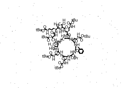 CCC(C)C(=O)OC(C)CC(=O)N[C@@H](CCCNC(=O)OC(C)(C)C)C(=O)N[C@H](C(=O)N[C@@H](CCNC(=O)OC(C)(C)C)C(=O)N[C@H]1CCNC(=O)[C@H]([C@H](C)O)NC(=O)[C@H](CCNC(=O)OC(C)(C)C)NC(=O)[C@H](CCNC(=O)OC(C)(C)C)NC(=O)[C@H](CC(C)C)NC(=O)[C@@H](Cc2ccccc2)NC(=O)[C@H](CCNC(=O)OC(C)(C)C)NC1=O)C(C)O